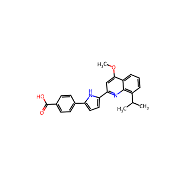 COc1cc(-c2ccc(-c3ccc(C(=O)O)cc3)[nH]2)nc2c(C(C)C)cccc12